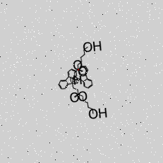 O=C(CCC1(CC2(CCC(=O)OCCCCO)c3ccccc3C3=CC=CC[C@H]32)c2ccccc2C2=CC=CCC21)OCCCCO